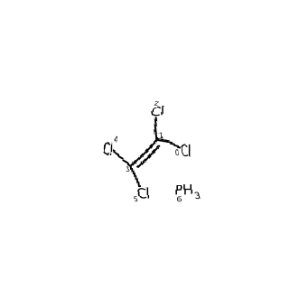 ClC(Cl)=C(Cl)Cl.P